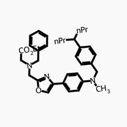 CCCC(CCC)c1ccc(CN(C)c2ccc(-c3coc(CN(CC(=O)OCC)Cc4ccccc4)n3)cc2)cc1